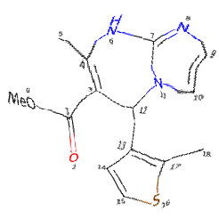 COC(=O)C1=C(C)Nc2nccn2C1c1ccsc1C